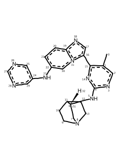 Cc1cnc(N[C@@H]2CN3CCC2CC3)nc1-c1cnc2ccc(Nc3cncnc3)cn12